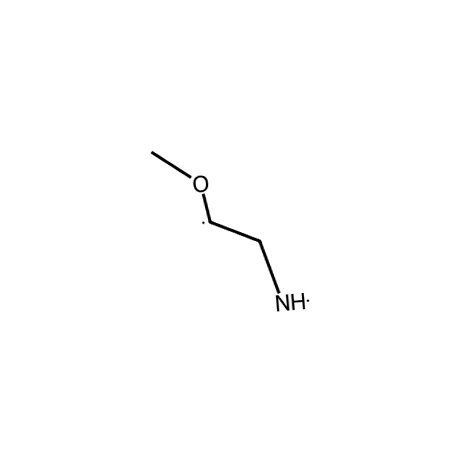 CO[CH]C[NH]